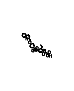 CCc1cc(CS(=O)(=O)c2ccc(OCc3ccc4ccccc4n3)cc2)cc2oc(C(=O)O)nc12